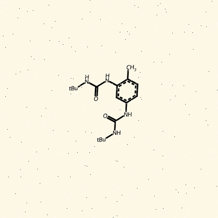 Cc1ccc(NC(=O)NC(C)(C)C)cc1NC(=O)NC(C)(C)C